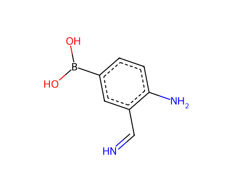 N=Cc1cc(B(O)O)ccc1N